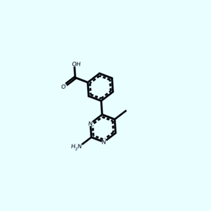 Cc1cnc(N)nc1-c1cccc(C(=O)O)c1